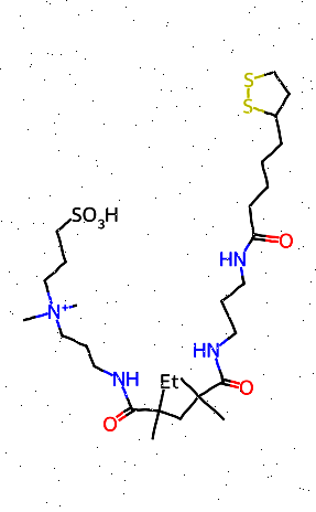 CCC(C)(CC(C)(C)C(=O)NCCCNC(=O)CCCCC1CCSS1)C(=O)NCCC[N+](C)(C)CCCS(=O)(=O)O